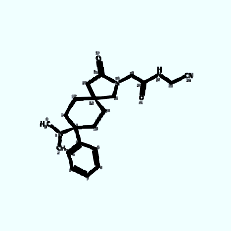 CN(C)[C@]1(c2ccccc2)CC[C@@]2(CC1)CC(=O)N(CC(=O)NCC#N)C2